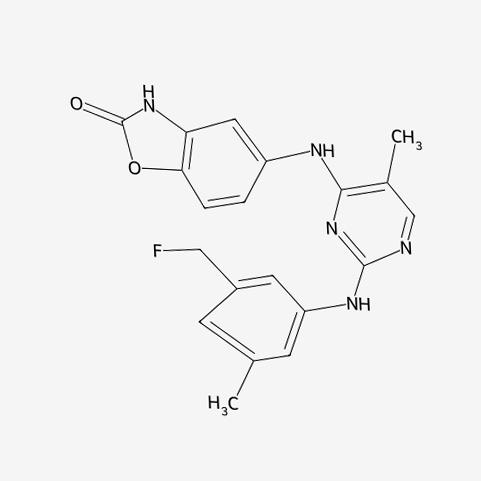 Cc1cc(CF)cc(Nc2ncc(C)c(Nc3ccc4oc(=O)[nH]c4c3)n2)c1